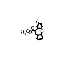 COC(=O)C1Cc2ccccc2Oc2ccc(F)cc21